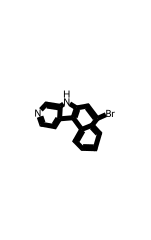 Brc1cc2[nH]c3cnccc3c2c2ccccc12